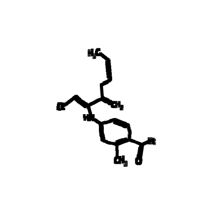 C=C(C/C=C\C)/C(=C/CC)Nc1ccc(C(=O)CC)c(C)c1